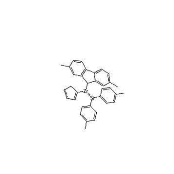 Cc1ccc([Si](c2ccc(C)cc2)=[Zr]([C]2=CC=CC2)[CH]2c3cc(C)ccc3-c3ccc(C)cc32)cc1